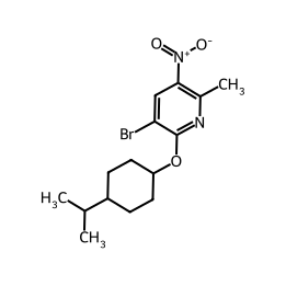 Cc1nc(OC2CCC(C(C)C)CC2)c(Br)cc1[N+](=O)[O-]